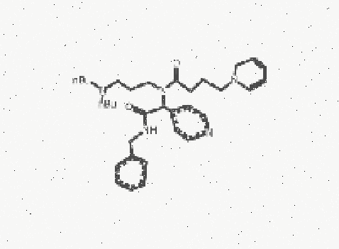 CCCCN(CCCC)CCCN(C(=O)CCCN1C=CC=CC1)C(C(=O)NCc1ccccc1)c1ccncc1